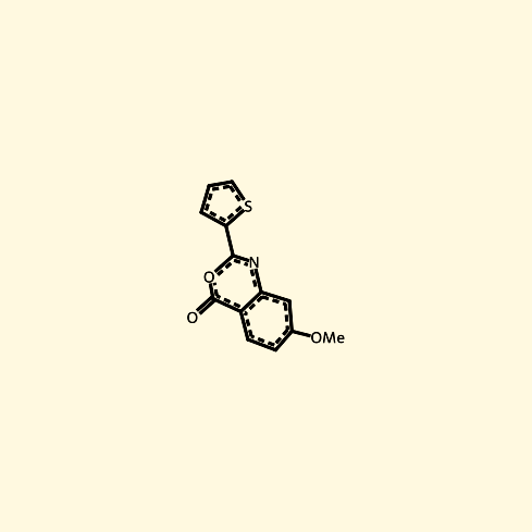 COc1ccc2c(=O)oc(-c3cccs3)nc2c1